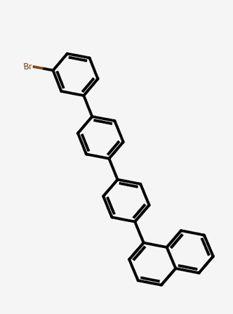 Brc1cccc(-c2ccc(-c3ccc(-c4cccc5ccccc45)cc3)cc2)c1